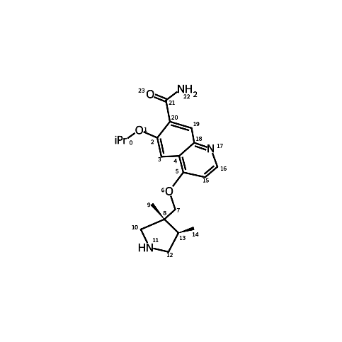 CC(C)Oc1cc2c(OC[C@@]3(C)CNC[C@@H]3C)ccnc2cc1C(N)=O